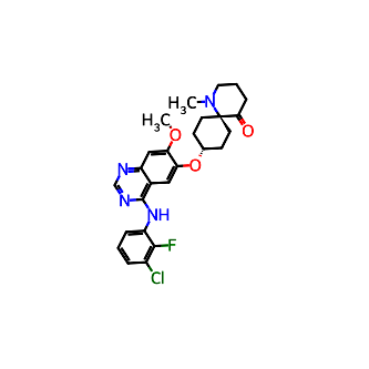 COc1cc2ncnc(Nc3cccc(Cl)c3F)c2cc1O[C@H]1CC[C@]2(CC1)C(=O)CCCN2C